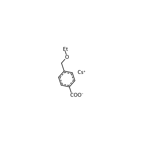 CCOCc1ccc(C(=O)[O-])cc1.[Cs+]